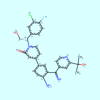 CC(C)(O)c1cc(C(=N)c2cc(-c3ccn([C@H](CO)c4ccc(F)c(Cl)c4)c(=O)c3)ccc2N)ccn1